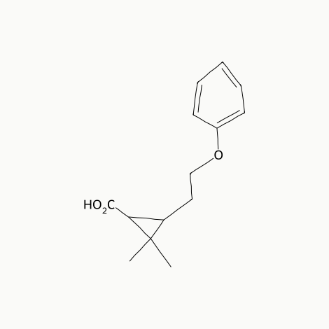 CC1(C)C(CCOc2ccccc2)C1C(=O)O